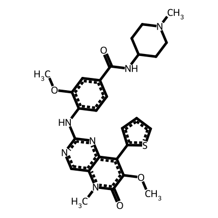 COc1cc(C(=O)NC2CCN(C)CC2)ccc1Nc1ncc2c(n1)c(-c1cccs1)c(OC)c(=O)n2C